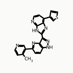 Cc1ccncc1-c1ccc2[nH]nc(-c3nc4c(-c5ccsc5)ccnc4[nH]3)c2n1